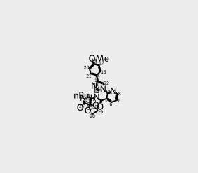 CCCCC(NC(=O)c1cccnc1-n1cnc(-c2ccc(OC)cc2)c1)C1(C(N)=O)OCCO1